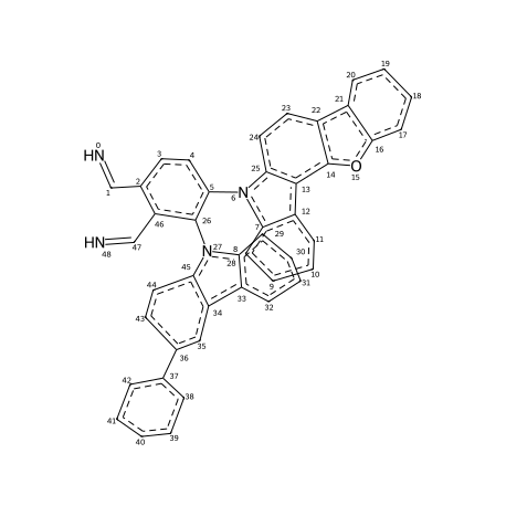 N=Cc1ccc(-n2c3ccccc3c3c4oc5ccccc5c4ccc32)c(-n2c3ccccc3c3cc(-c4ccccc4)ccc32)c1C=N